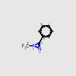 FC(F)(F)N1N=C1c1cc[c]cc1